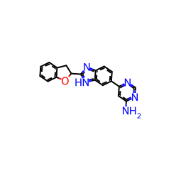 Nc1cc(-c2ccc3nc(C4Cc5ccccc5O4)[nH]c3c2)ncn1